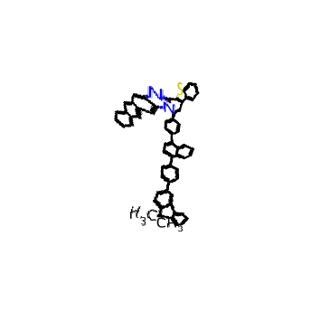 CC1(C)c2ccccc2-c2cc(-c3ccc(-c4ccc(-c5ccc(-c6cc7c8ccccc8sc7c7nc8cc9cc%10ccccc%10cc9cc8n67)cc5)c5ccccc45)cc3)ccc21